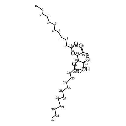 CCCCCCCCCCCC(=O)OC(C(C)=O)C(OC(=O)CCCCCCCCCCC)C(=O)O